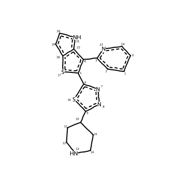 c1ccc(-c2c(-c3nnc(C4CCNCC4)s3)sc3cc[nH]c23)nc1